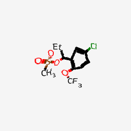 CCC(OS(C)(=O)=O)c1cc(Cl)ccc1OC(F)(F)F